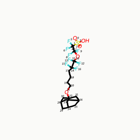 O=S(=O)(O)C(F)(F)C(F)(F)OC(F)(F)C(F)(F)CCCCOC12CC3CC(CC(C3)C1)C2